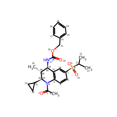 CC(=O)N1c2ccc(S(=O)(=O)C(C)C)cc2[C@H](NC(=O)OCc2ccccc2)[C@@H](C)[C@@H]1C1CC1